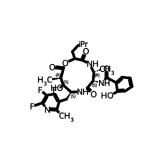 Cc1nc(F)c(F)c(F)c1C[C@@H]1NC(=O)[C@@H](NC(=O)c2ccccc2O)[C@@H](C)NC(=O)C(CC(C)C)OC(=O)[C@H](C)[C@@H]1O